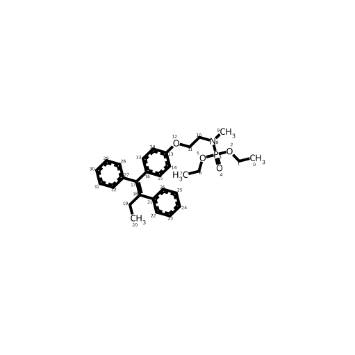 CCOP(=O)(OCC)N(C)CCOc1ccc(C(=C(CC)c2ccccc2)c2ccccc2)cc1